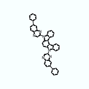 c1ccc(-c2ccc3ncc(-n4c5ccccc5c5c6c7ccccc7n(-c7cnc8ccc(-c9ccccc9)cc8n7)c6ccc54)nc3c2)cc1